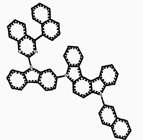 c1ccc2cc(-n3c4ccccc4c4c5c6ccccc6n(-c6ccc7c8ccccc8n(-c8nc(-c9cccc%10ccccc9%10)c9ccccc9n8)c7c6)c5ccc43)ccc2c1